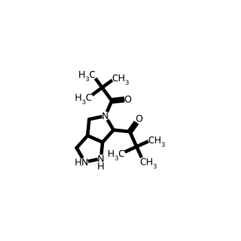 CC(C)(C)C(=O)C1C2NNCC2CN1C(=O)C(C)(C)C